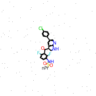 CCCS(=O)(=O)Nc1ccc(F)c(C(=O)C2CNc3ncc(-c4ccc(Cl)cc4)cc32)c1F